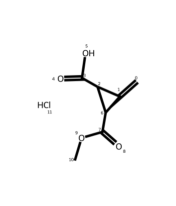 C=C1C(C(=O)O)C1C(=O)OC.Cl